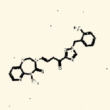 Cc1ccccc1Cn1cnc(C(=O)C/C=C/[C@H]2COc3cccnc3N(C)C2=S)n1